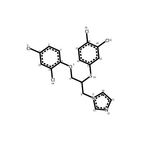 Clc1ccc(OCC(Cn2ccnc2)Sc2ccc(Cl)c(Cl)c2)c(Cl)c1